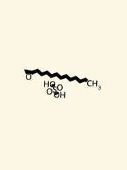 CCCCCCCCCCCCC1CO1.O=S(=O)(O)O